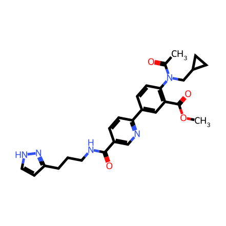 COC(=O)c1cc(-c2ccc(C(=O)NCCCc3cc[nH]n3)cn2)ccc1N(CC1CC1)C(C)=O